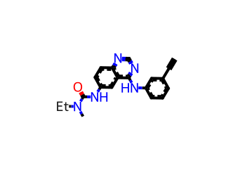 C#Cc1cccc(Nc2ncnc3ccc(NC(=O)N(C)CC)cc23)c1